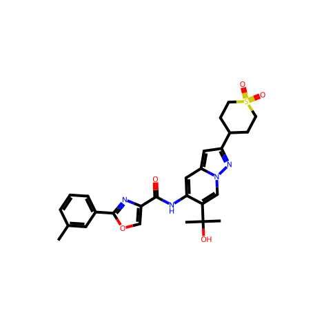 Cc1cccc(-c2nc(C(=O)Nc3cc4cc(C5CCS(=O)(=O)CC5)nn4cc3C(C)(C)O)co2)c1